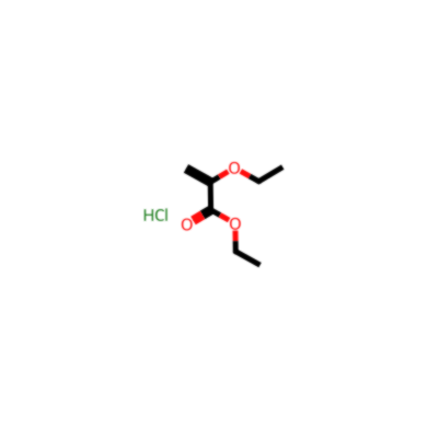 C=C(OCC)C(=O)OCC.Cl